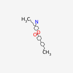 CCCCCC1(C#N)CCC(OC(=O)C2CCC(C3CCC(CCC)CC3)CC2)CC1